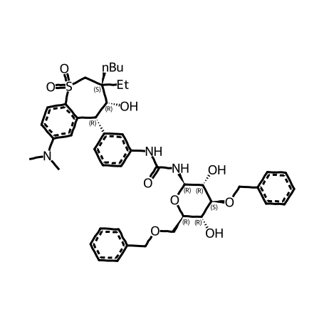 CCCC[C@]1(CC)CS(=O)(=O)c2ccc(N(C)C)cc2[C@@H](c2cccc(NC(=O)N[C@@H]3O[C@H](COCc4ccccc4)[C@@H](O)[C@H](OCc4ccccc4)[C@H]3O)c2)[C@H]1O